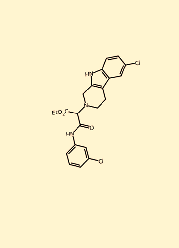 CCOC(=O)C(C(=O)Nc1cccc(Cl)c1)N1CCc2c([nH]c3ccc(Cl)cc23)C1